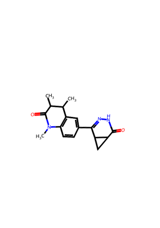 CC1C(=O)N(C)c2ccc(C3=NNC(=O)C4CC34)cc2C1C